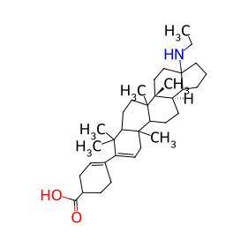 CCNC12CCCC1[C@H]1CCC3C4(C)CC=C(C5=CCC(C(=O)O)CC5)C(C)(C)C4CCC3(C)[C@]1(C)CC2